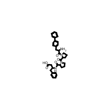 NC(Cc1ccc(-c2ccccc2)cc1)C(=O)N1CCCC1C(=O)N1CCCC1C(=O)NC(CC(=O)O)Cc1ccccc1